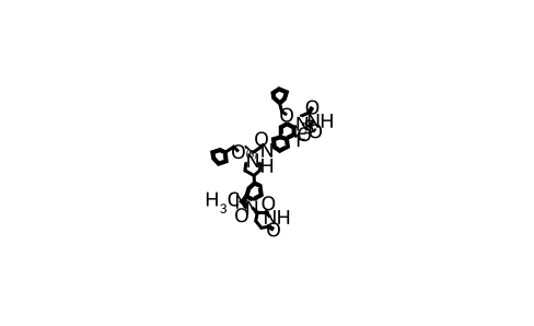 Cn1c(=O)n(C2CCC(=O)NC2=O)c2ccc(C3CCN([C@@H](COCc4ccccc4)C(=O)Nc4ccc5c(F)c(N6CC(=O)NS6(=O)=O)c(OCc6ccccc6)cc5c4)CC3)cc21